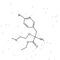 CCOC(=O)C(N)(Cc1ccc(Br)nc1)OCCOC